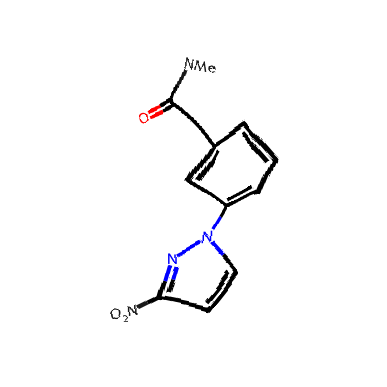 CNC(=O)c1cccc(-n2ccc([N+](=O)[O-])n2)c1